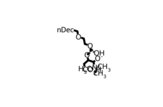 CCCCCCCCCCCOCCOP(O)OC(CC(=O)O)C([O-])[N+](C)(C)C